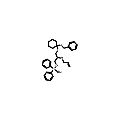 C=CCOC(COC1(OCc2ccccc2)CCCCC1)CO[Si](c1ccccc1)(c1ccccc1)C(C)(C)C